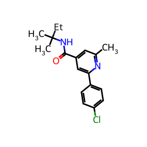 CCC(C)(C)NC(=O)c1cc(C)nc(-c2ccc(Cl)cc2)c1